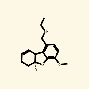 CCNCc1ccc(OC)c2c1C1C=CCC[C@@H]1O2